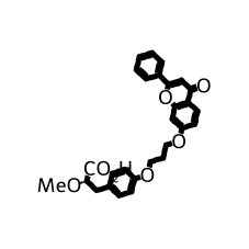 CO[C@@H](Cc1ccc(OCCCOc2ccc3c(=O)cc(-c4ccccc4)oc3c2)cc1)C(=O)O